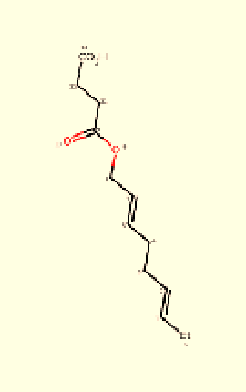 CCC=CCCC=CCOC(=O)CCC(=O)O